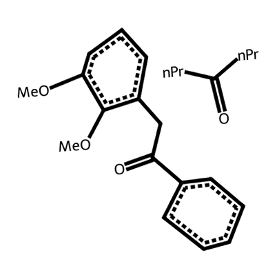 CCCC(=O)CCC.COc1cccc(CC(=O)c2ccccc2)c1OC